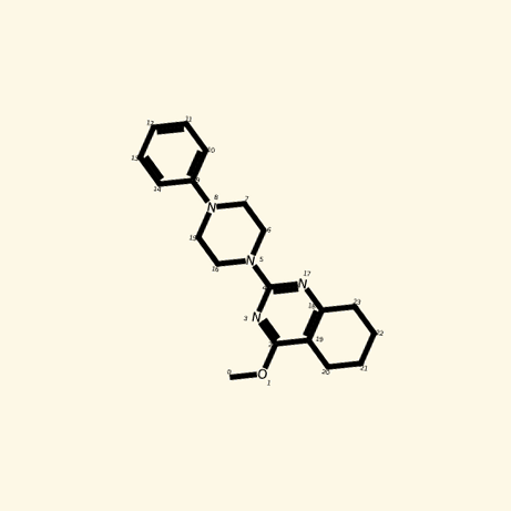 COc1nc(N2CCN(c3ccccc3)CC2)nc2c1CCCC2